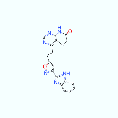 O=C1CCc2c(CCc3cc(-c4nc5ccccc5[nH]4)no3)ncnc2N1